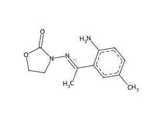 C/C(=N\N1CCOC1=O)c1cc(C)ccc1N